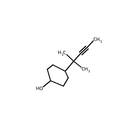 CC#CC(C)(C)C1CCC(O)CC1